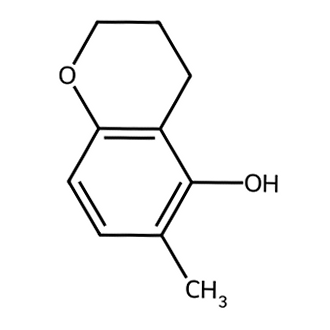 Cc1ccc2c(c1O)CCCO2